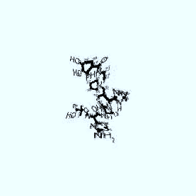 CC(C)(O/N=C(\C(=O)N[C@@H]1C(=O)N2C(c3nnn[nH]3)=C(C[N+]3(CCNC(=O)c4ccc(O)c(O)c4F)CCCC3)CS[C@H]12)c1nsc(N)n1)C(=O)O